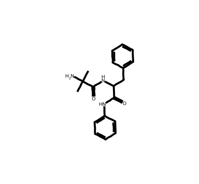 CC(C)(N)C(=O)NC(Cc1ccccc1)C(=O)Nc1ccccc1